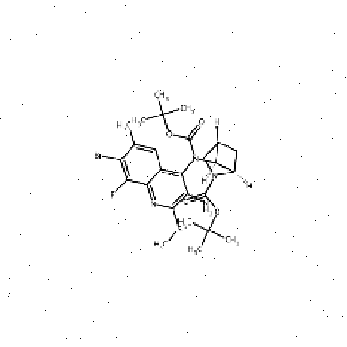 CSc1nc2c(F)c(Br)c(C)cc2c(N(C(=O)OC(C)(C)C)[C@H]2[C@H]3C[C@H]2N(C(=O)OC(C)(C)C)C3)c1N